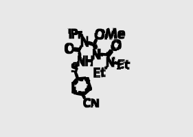 CCN(CC)C(=O)N=C(OC)N(C(=O)NSc1ccc(C#N)cc1)C(C)C